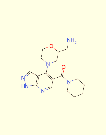 NCC1CN(c2c(C(=O)N3CCCCC3)cnc3[nH]ncc23)CCO1